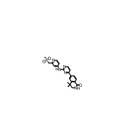 CC1(C)CNC(=O)c2ccc(-c3ccnc(Nc4ccnc(CS(C)(=O)=O)c4)n3)cc21